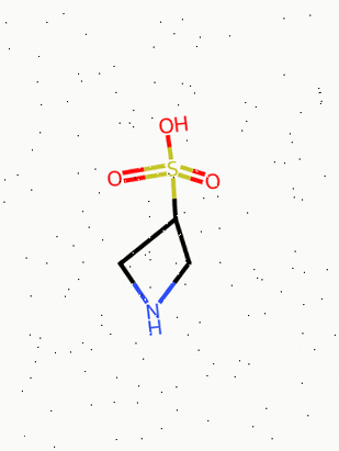 O=S(=O)(O)C1CNC1